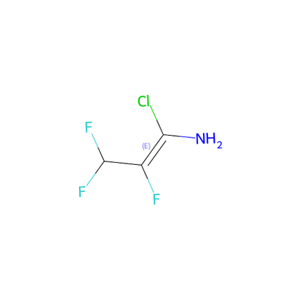 N/C(Cl)=C(\F)C(F)F